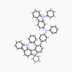 c1ccc(N(c2ccc(-c3ccc4c5c3-c3ccccc3-n3c6ccccc6c6ccc(c-5c63)C43CCCC3)cc2)c2ccc3c4ccccc4n(-c4ccccc4)c3c2)cc1